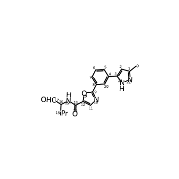 Cc1cc(-c2cccc(-c3ncc(C(=O)NC(C=O)C(C)C)o3)c2)[nH]n1